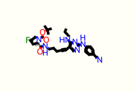 CCCNc1nc(Nc2ccc(C#N)cc2)ncc1C#CCCCNC(=O)[C@@H]1C[C@@H](F)CN1C(=O)OC(C)(C)C